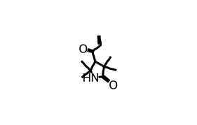 C=CC(=O)C1C(C)(C)NC(=O)C1(C)C